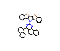 c1ccc2c(-c3nc(-n4c5c6ccccc6sc5c5sc6ccccc6c54)nc4c3ccc3ccccc34)cccc2c1